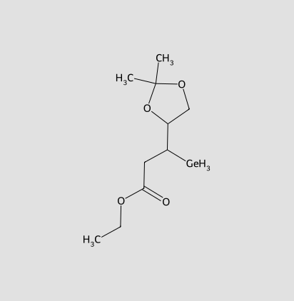 CCOC(=O)C[CH]([GeH3])C1COC(C)(C)O1